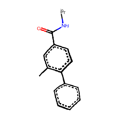 Cc1cc(C(=O)NC(C)C)ccc1-c1ccccc1